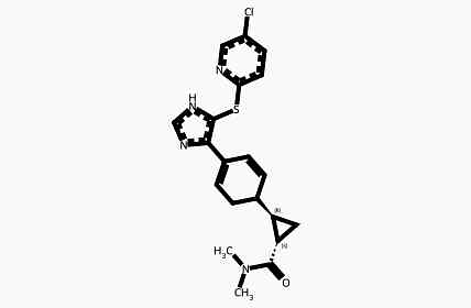 CN(C)C(=O)[C@H]1C[C@@H]1C1C=CC(c2nc[nH]c2Sc2ccc(Cl)cn2)=CC1